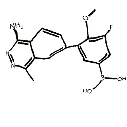 COc1c(F)cc(B(O)O)cc1-c1ccc2c(N)nnc(C)c2c1